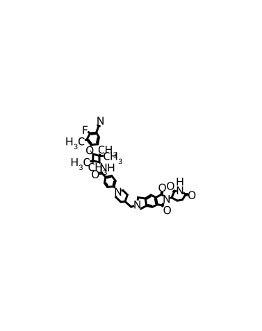 Cc1c(O[C@H]2C(C)(C)[C@H](NC(=O)c3ccc(N4CCC(CN5Cc6cc7c(cc6C5)C(=O)N(C5CCC(=O)NC5=O)C7=O)CC4)cc3)C2(C)C)ccc(C#N)c1F